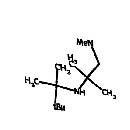 CNCC(C)(C)NC(C)(C)C(C)(C)C